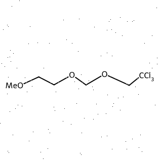 COCCOCOCC(Cl)(Cl)Cl